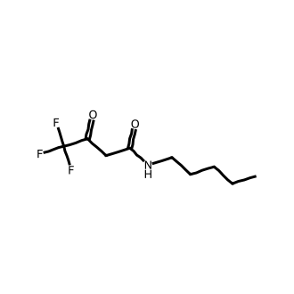 CCCCCNC(=O)CC(=O)C(F)(F)F